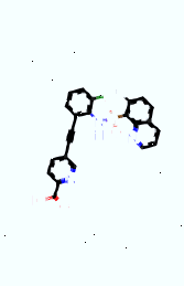 Cc1ccc2cccnc2c1S(=O)(=O)Nc1c(F)cccc1C#Cc1ccc(C(=O)O)nc1